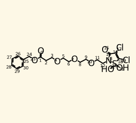 O=C(CCOCCOCCOCCN1C(=O)C(Cl)=C(Cl)S1(O)O)OCc1ccccc1